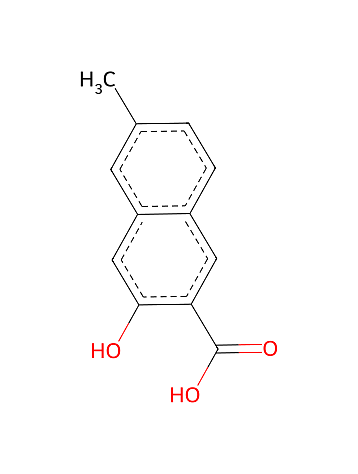 Cc1ccc2cc(C(=O)O)c(O)cc2c1